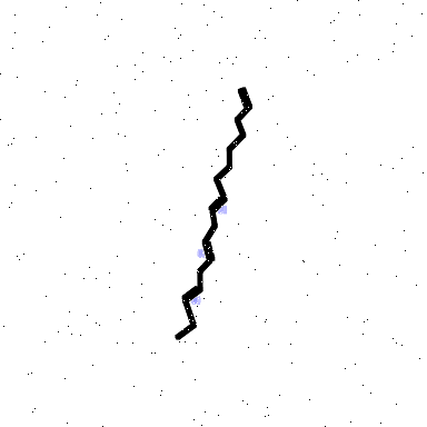 C=CCCCCC/C=C/C/C=C/C/C=C/CC